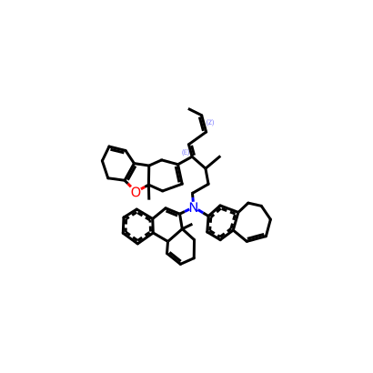 C/C=C\C=C(\C1=CCC2(C)OC3=C(C=CCC3)C2C1)C(C)CCN(C1=Cc2ccccc2C2C=CCCC12C)c1ccc2c(c1)CCCC=C2